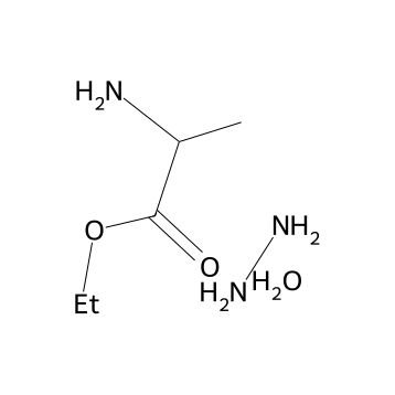 CCOC(=O)C(C)N.NN.O